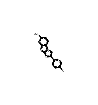 COc1ccc2c(n1)sc1nc(-c3ccc(Cl)cn3)cn12